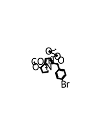 CS(=O)(=O)c1cc2n(c1C(=O)c1ccc(Br)cc1)CCC2OC(=O)O